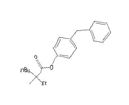 CCCCC(C)(CC)C(=O)Oc1ccc(Cc2ccccc2)cc1